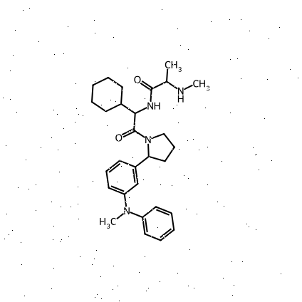 CNC(C)C(=O)NC(C(=O)N1CCCC1c1cccc(N(C)c2ccccc2)c1)C1CCCCC1